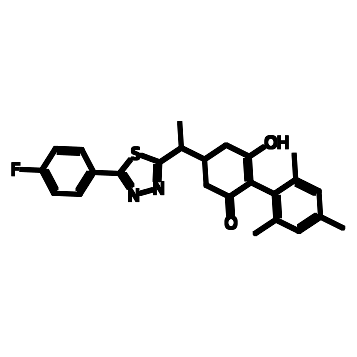 Cc1cc(C)c(C2=C(O)CC(C(C)c3nnc(-c4ccc(F)cc4)s3)CC2=O)c(C)c1